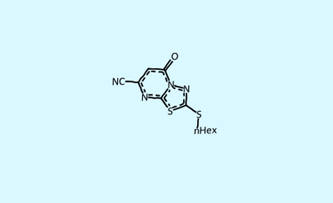 CCCCCCSc1nn2c(=O)cc(C#N)nc2s1